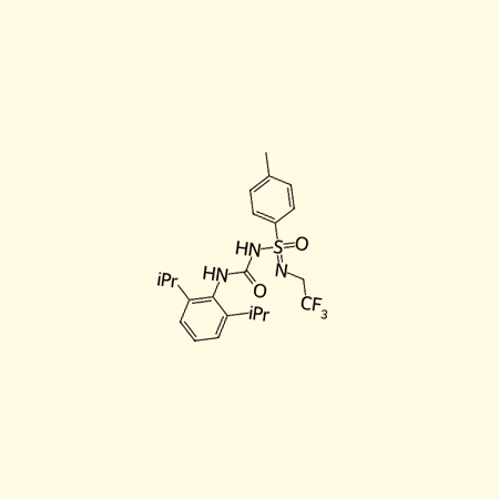 Cc1ccc(S(=O)(=NCC(F)(F)F)NC(=O)Nc2c(C(C)C)cccc2C(C)C)cc1